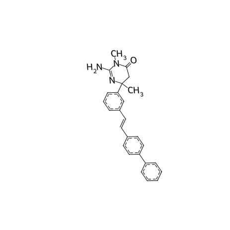 CN1C(=O)CC(C)(c2cccc(/C=C/c3ccc(-c4ccccc4)cc3)c2)N=C1N